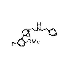 COc1ccc(F)cc1C1CC[C@H](CCNCCc2ccccc2)O1